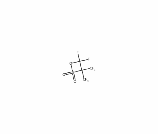 O=S1(=O)OC(F)(F)C1(C(F)(F)F)C(F)(F)F